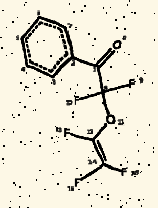 O=C(c1ccccc1)C(F)(F)OC(F)=C(F)F